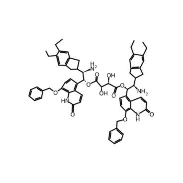 CCc1cc2c(cc1CC)CC([C@@H](N)[C@H](OC(=O)[C@H](O)[C@@H](O)C(=O)O[C@H](c1ccc(OCc3ccccc3)c3[nH]c(=O)ccc13)[C@H](N)C1Cc3cc(CC)c(CC)cc3C1)c1ccc(OCc3ccccc3)c3[nH]c(=O)ccc13)C2